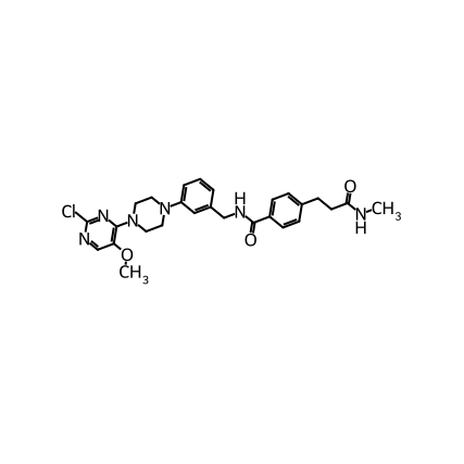 CNC(=O)CCc1ccc(C(=O)NCc2cccc(N3CCN(c4nc(Cl)ncc4OC)CC3)c2)cc1